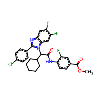 COC(=O)c1ccc(NC(=O)C(C2CCCCC2)n2c(-c3ccc(Cl)cc3)nc3cc(F)c(F)cc32)c(F)c1